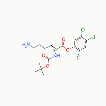 CC(C)(C)OC(=O)N[C@@H](CCCCN)C(=O)Oc1cc(Cl)c(Cl)cc1Cl